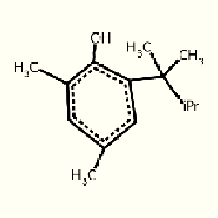 Cc1cc(C)c(O)c(C(C)(C)C(C)C)c1